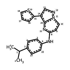 CC(C)c1ccc(Nc2ccn3ncc(-c4cccs4)c3n2)cc1